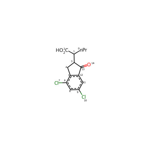 CCCC(C(=O)O)C1Cc2c(Cl)cc(Cl)cc2C1=O